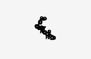 COCC(=O)N1CCC(c2cccc3cc(-c4nc5cc6c(cc5n4C)CCN(C[C@H]4COCCN4)C6=O)n(CC4CC4)c23)CC1